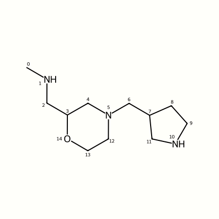 CNCC1CN(CC2CCNC2)CCO1